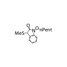 CCCCCON1C(=O)C(SC)c2ccccc21